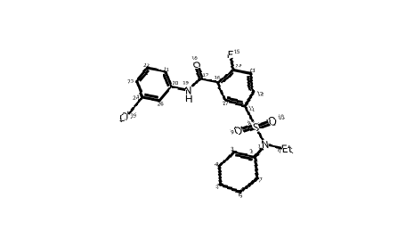 CCN(C1=CCCCC1)S(=O)(=O)c1ccc(F)c(C(=O)Nc2cccc(Cl)c2)c1